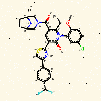 CCOc1ccc(Cl)cc1-n1c(CC(C)C)c(C(=O)N2C[C@H]3CC[C@@H](C2)N3)cc(-c2nc(-c3ccc(C(F)F)cc3)cs2)c1=O